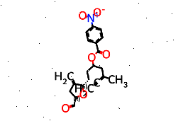 C=C=C(C)CC(CC[C@@H]1O[C@@H](C=O)CC1=C)OC(=O)c1ccc([N+](=O)[O-])cc1